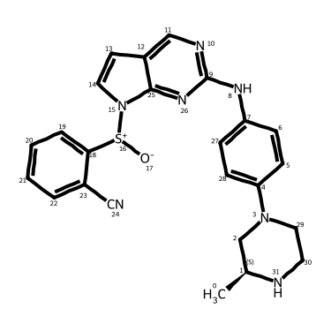 C[C@H]1CN(c2ccc(Nc3ncc4ccn([S+]([O-])c5ccccc5C#N)c4n3)cc2)CCN1